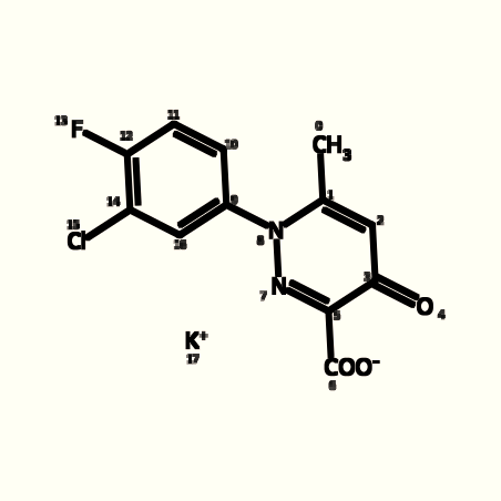 Cc1cc(=O)c(C(=O)[O-])nn1-c1ccc(F)c(Cl)c1.[K+]